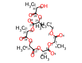 CCOC(=O)[C@H](C)OC(=O)[C@H](C)OC(=O)[C@H](C)OC(=O)[C@H](C)OC(=O)[C@H](C)OC(=O)[C@H](C)O